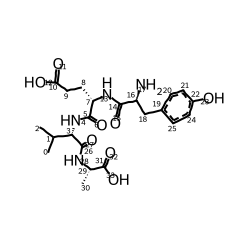 CC(C)[C@H](NC(=O)[C@H](CCC(=O)O)NC(=O)[C@@H](N)Cc1ccc(O)cc1)C(=O)N[C@@H](C)C(=O)O